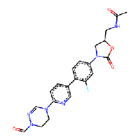 CC(=O)NCC1CN(c2ccc(-c3ccc(N4C=NN(C=O)CC4)nc3)c(F)c2)C(=O)O1